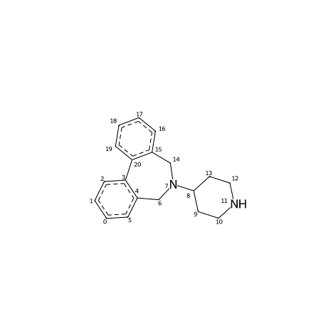 c1ccc2c(c1)CN(C1CCNCC1)Cc1ccccc1-2